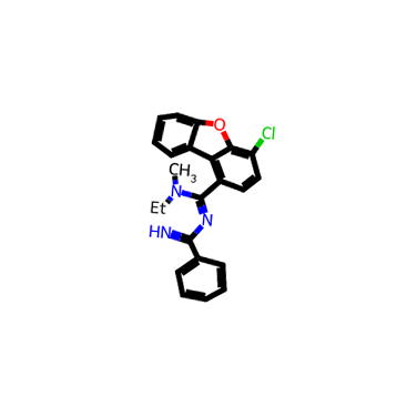 CCN(C)/C(=N\C(=N)c1ccccc1)c1ccc(Cl)c2oc3ccccc3c12